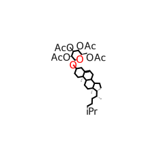 CC(=O)OC[C@H]1O[C@H](OC2CC[C@@]3(C)C(=CCC4C3CC[C@@]3(C)C4CC[C@@H]3[C@H](C)CCCC(C)C)C2)[C@H](OC(C)=O)[C@@H](OC(C)=O)[C@@H]1OC(C)=O